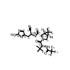 CC(C)(C)[C@H](NC(=O)C(F)(F)F)C(=O)N1C[C@H]2[C@H]([C@H]1C(=O)NC(C#N)CC1=NC(O)N=C1)C2(C)C